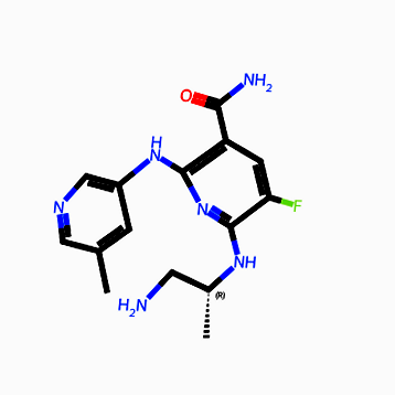 Cc1cncc(Nc2nc(N[C@H](C)CN)c(F)cc2C(N)=O)c1